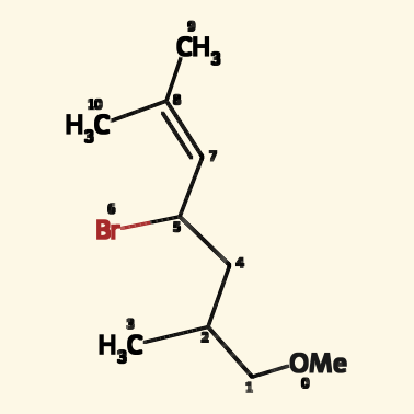 COCC(C)CC(Br)C=C(C)C